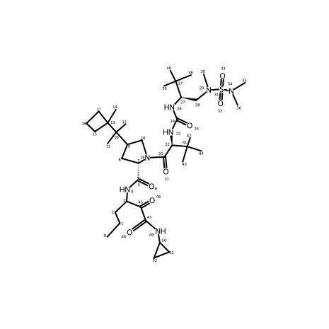 CCCC(NC(=O)[C@@H]1CC(C(C)(C)C2(C)CCC2)CN1C(=O)[C@@H](NC(=O)N[C@H](CN(C)S(=O)(=O)N(C)C)C(C)(C)C)C(C)(C)C)C(=O)C(=O)NC1CC1